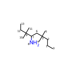 CCCC(C)(C)CC(N)C(C)(C)CC